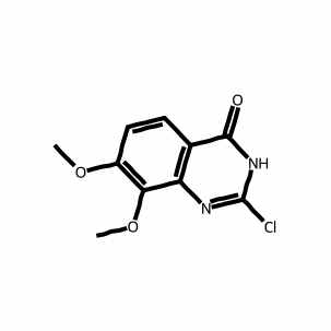 COc1ccc2c(=O)[nH]c(Cl)nc2c1OC